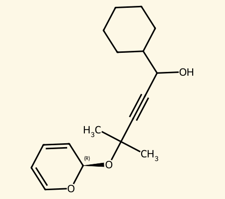 CC(C)(C#CC(O)C1CCCCC1)O[C@@H]1C=CC=CO1